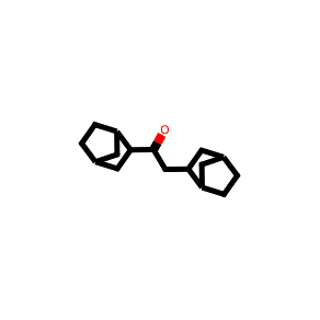 O=C(CC1CC2CCC1C2)C1CC2CCC1C2